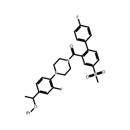 CC(C)OC(C)c1ccc(N2CCN(C(=O)c3cc(S(C)(=O)=O)ccc3-c3ccc(F)cc3)CC2)c(F)c1